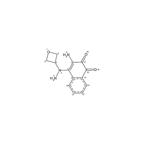 NC1=C(N(N)C2COC2)c2ccccc2C(=O)C1=O